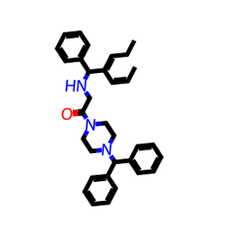 C/C=C\C(=C/CC)C(NCC(=O)N1CCN(C(c2ccccc2)c2ccccc2)CC1)c1ccccc1